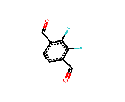 O=Cc1ccc(C=O)c(F)c1F